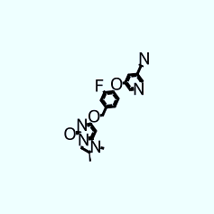 C[C@H]1Cn2c(cc(OCc3ccc(Oc4cncc(C#N)c4)c(F)c3)nc2=O)N1C